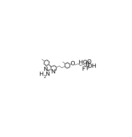 Cc1ccc2c(c1)nc(N)c1ncc(CCc3ccc(OCCCCC(F)(F)P(=O)(O)O)cc3C)cc12